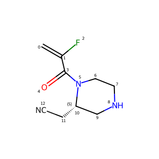 C=C(F)C(=O)N1CCNC[C@@H]1CC#N